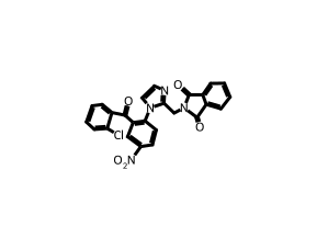 O=C(c1ccccc1Cl)c1cc([N+](=O)[O-])ccc1-n1ccnc1CN1C(=O)c2ccccc2C1=O